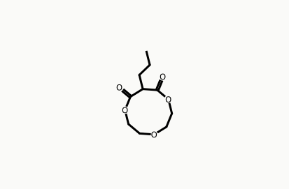 CCCC1C(=O)OCCOCCOC1=O